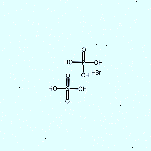 Br.O=P(O)(O)O.O=S(=O)(O)O